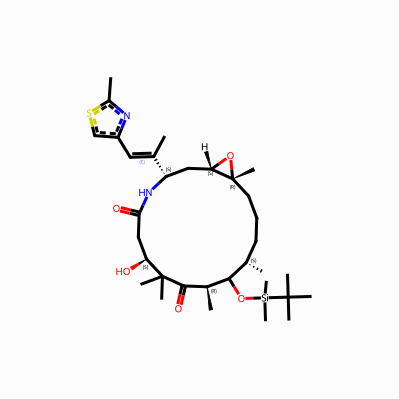 C/C(=C\c1csc(C)n1)[C@@H]1C[C@@H]2O[C@]2(C)CCC[C@H](C)C(O[Si](C)(C)C(C)(C)C)[C@@H](C)C(=O)C(C)(C)[C@@H](O)CC(=O)N1